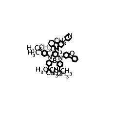 CC(C)(C)c1ccc(N2c3ccc(C(C)(C)C)cc3B3c4cc(C(C)(C)C)ccc4N(c4ccc5oc6ccccc6c5c4)c4cc(N5c6ccc(-c7ccncc7)cc6C6(C)CCCCC56C)cc2c43)cc1